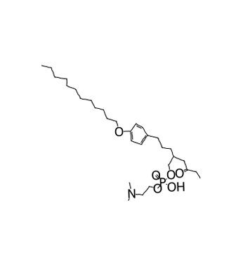 CCCCCCCCCCCCOc1ccc(CCCC(COP(=O)(O)OCCN(C)C)CC(=O)CC)cc1